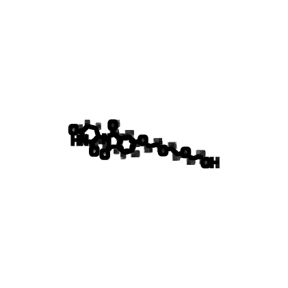 O=C1CCC(N2C(=O)c3ccc(OCCOCCOCCO)cc3C2=O)C(=O)N1